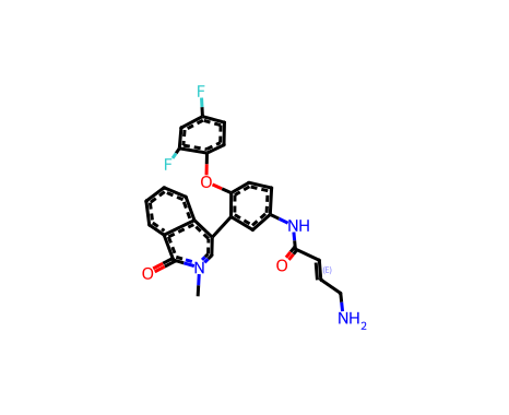 Cn1cc(-c2cc(NC(=O)/C=C/CN)ccc2Oc2ccc(F)cc2F)c2ccccc2c1=O